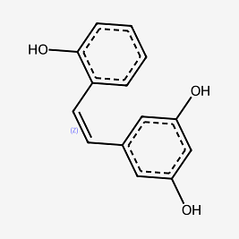 Oc1cc(O)cc(/C=C\c2ccccc2O)c1